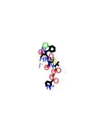 Cc1onc(-c2ccccc2Cl)c1C(=O)N[C@H]1C(=O)N2[C@H]1SC(C)(C)[C@H]2C(=O)OCOC(=O)c1ccc[n+](C)c1.[I-]